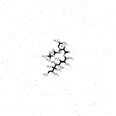 CC[C@H](C)C(C)(C)[C@@H](O)[C@@H](O)/C(C)=C(\C)[C@H](C)OC(=O)C(C)[C@H](CC(C)C)NC(=O)OC(C)(C)C